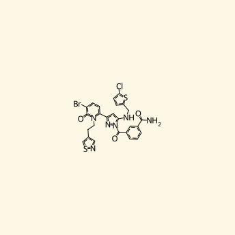 NC(=O)c1cccc(C(=O)n2nc(-c3ccc(Br)c(=O)n3CCc3cnsc3)cc2NCc2ccc(Cl)s2)c1